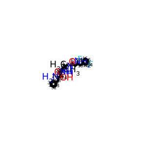 CC(C)(CNC(=O)CC(N)Cc1cc(F)ccc1F)CNC(=O)C(O)C(N)Cc1ccccc1